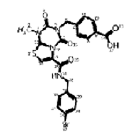 CN1C(=O)N(Cc2ccc(C(=O)O)cc2)C(=O)N2C(C(=O)NCc3ccc(Br)cc3)=CSC12